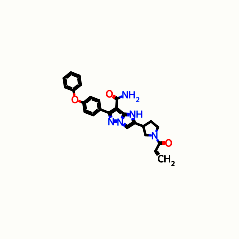 C=CC(=O)N1CCC(c2cn3nc(-c4ccc(Oc5ccccc5)cc4)c(C(N)=O)c3[nH]2)C1